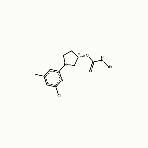 CC(C)(C)NC(=O)O[C@H]1CCN(c2cc(I)cc(Cl)n2)C1